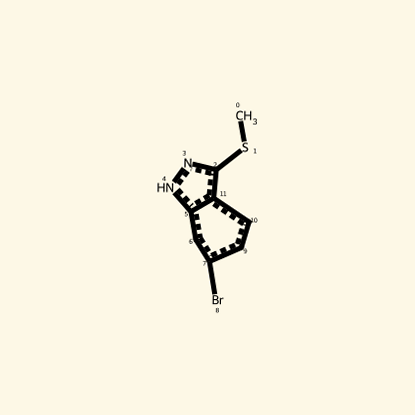 CSc1n[nH]c2cc(Br)ccc12